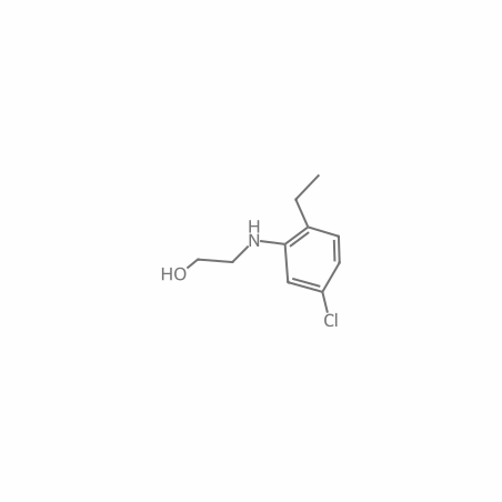 CCc1ccc(Cl)cc1NCCO